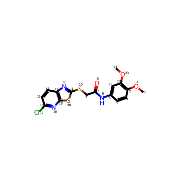 COc1ccc(NC(=O)CSc2nc3ccc(Cl)nc3s2)cc1OC